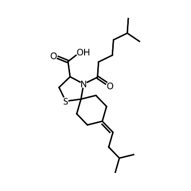 CC(C)CC=C1CCC2(CC1)SCC(C(=O)O)N2C(=O)CCCC(C)C